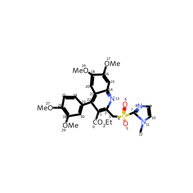 CCOC(=O)c1c(CS(=O)(=O)c2nccn2C)nc2cc(OC)c(OC)cc2c1-c1ccc(OC)c(OC)c1